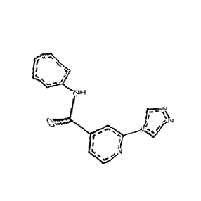 O=C(Nc1ccccc1)c1ccnc(-n2cnnc2)c1